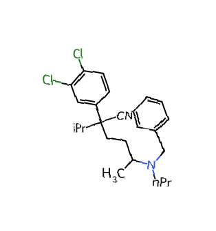 CCCN(Cc1ccccc1)C(C)CCC(C#N)(c1ccc(Cl)c(Cl)c1)C(C)C